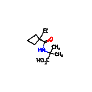 CCC1(C(=O)NC(C)(C)C(=O)O)CCC1